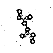 c1ccc2c(c1)nc1n(-c3cccc4c3sc3ccccc34)c3ccc(-c4ccc5c(c4)n4c6ccccc6nc4n5-c4cccc5c4sc4ccccc45)cc3n21